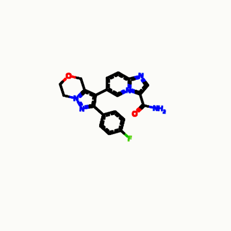 NC(=O)c1cnc2ccc(-c3c(-c4ccc(F)cc4)nn4c3COCC4)cn12